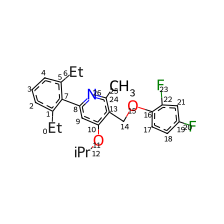 CCc1cccc(CC)c1-c1cc(OC(C)C)c(COc2ccc(F)cc2F)c(C)n1